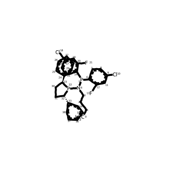 CCCCN(P(c1ccc(Cl)cc1F)c1ccc(Cl)cc1F)P1[C@H](c2ccccc2)CC[C@H]1c1ccccc1